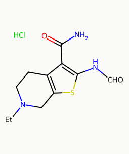 CCN1CCc2c(sc(NC=O)c2C(N)=O)C1.Cl